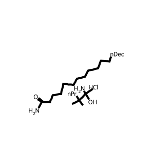 CCCC(C)(C)C(C)(N)O.CCCCCCCCCCCCCCCCCCCCCC(N)=O.Cl